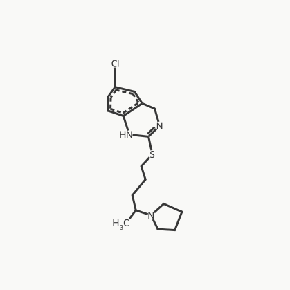 CC(CCCSC1=NCc2cc(Cl)ccc2N1)N1CCCC1